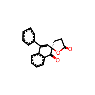 O=C1CC[C@]2(C=C(c3ccccc3)c3ccccc3C2=O)O1